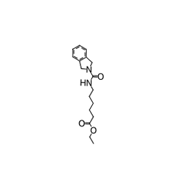 CCOC(=O)CCCCCNC(=O)N1Cc2ccccc2C1